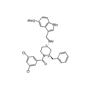 COc1ccc2[nH]cc(CN[C@H]3CCN(C(=O)c4cc(Cl)cc(Cl)c4)[C@H](Cc4ccccc4)C3)c2c1